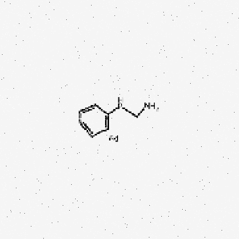 NCPc1ccccc1.[Pd]